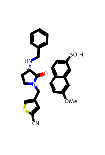 COc1ccc2ccc(S(=O)(=O)O)cc2c1.N#Cc1cc(CN2CC[C@H](NCc3ccccc3)C2=O)cs1